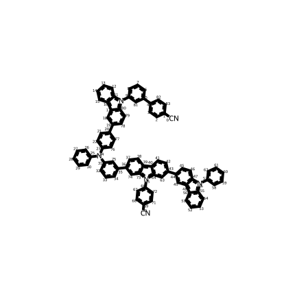 N#Cc1ccc(-c2cccc(-n3c4ccccc4c4cc(-c5ccc(N(c6ccccc6)c6cccc(-c7ccc8c9ccc(-c%10ccc%11c(c%10)c%10ccccc%10n%11-c%10ccccc%10)cc9n(-c9ccc(C#N)cc9)c8c7)c6)cc5)ccc43)c2)cc1